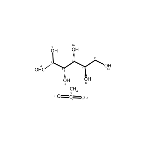 C.O=C=O.O=C[C@H](O)[C@@H](O)[C@H](O)[C@H](O)CO